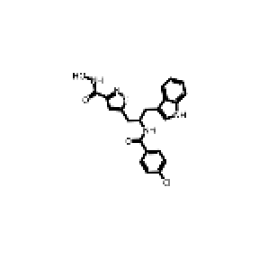 O=C(NC(Cc1cc(C(=O)NO)no1)Cc1c[nH]c2ccccc12)c1ccc(Cl)cc1